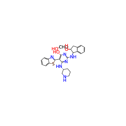 O=CO.Oc1nc(N[C@@H]2c3ccccc3C[C@@H]2O)nc(N[C@@H]2CCCNC2)c1-c1nc2ccccc2s1